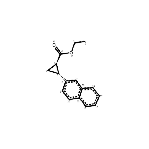 CCOC(=O)[C@@H]1C[C@H]1c1ccc2ccccc2c1